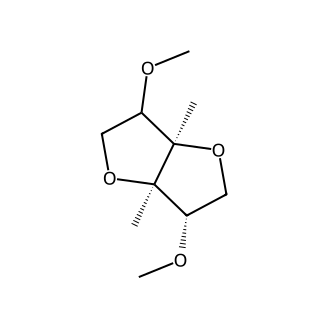 COC1CO[C@]2(C)[C@@H](OC)CO[C@]12C